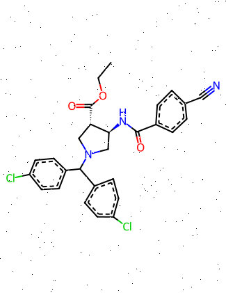 CCOC(=O)[C@H]1CN(C(c2ccc(Cl)cc2)c2ccc(Cl)cc2)C[C@@H]1NC(=O)c1ccc(C#N)cc1